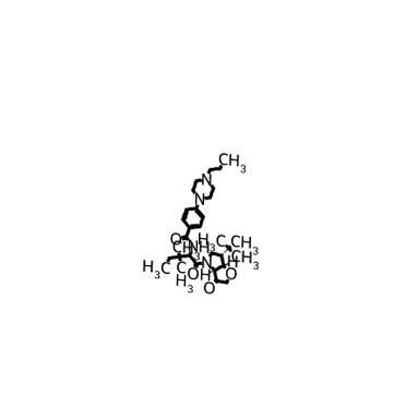 CCCN1CCN(c2ccc(C(=O)NC(C(=O)N3C[C@H](C(C)(C)C)[C@H]4OCC(=O)[C@H]43)C(C)(C)CC)cc2)CC1